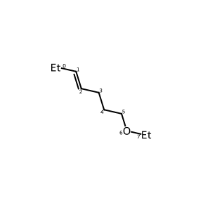 CC/C=C/CCCOCC